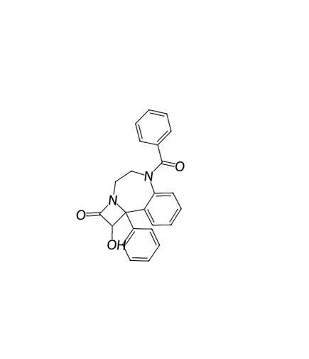 O=C(c1ccccc1)N1CCN2C(=O)C(O)C2(c2ccccc2)c2ccccc21